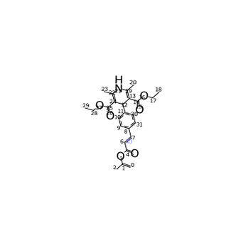 C=C(C)OC(=O)/C=C/c1ccc(C2C(C(=O)OCC)=C(C)NC(C)=C2C(=O)OCC)cc1